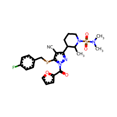 CC1C(c2nn(C(=O)c3ccco3)c(SCc3ccc(F)cc3)c2C#N)CCCN1S(=O)(=O)N(C)C